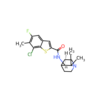 Cc1c(F)cc2cc(C(=O)N[C@@H]3C4CCN(CC4)C3(C)C)sc2c1Cl